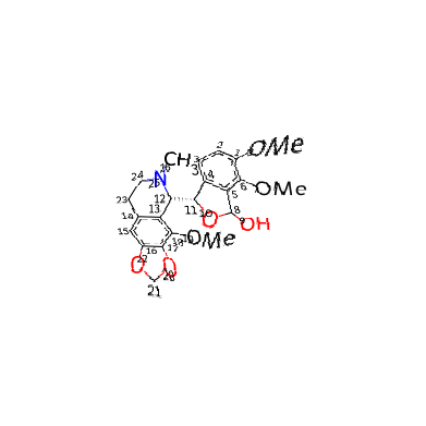 COc1ccc2c(c1OC)C(O)O[C@@H]2C1c2c(cc3c(c2OC)OCO3)CCN1C